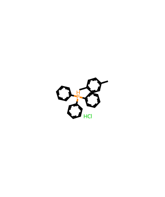 Cc1ccc(C[PH](c2ccccc2)(c2ccccc2)c2ccccc2)cc1.Cl